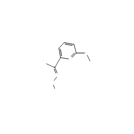 CCCCON=C(C(=O)O)c1cccc(NC=O)n1